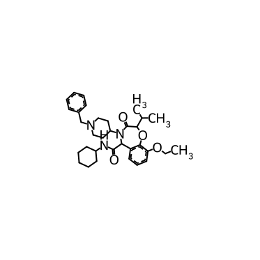 CCOc1cccc2c1OC(C(C)C)C(=O)N(C1CCN(Cc3ccccc3)CC1)C2C(=O)NC1CCCCC1